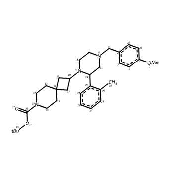 COc1ccc(CN2CCN(C3CC4(CCN(C(=O)OC(C)(C)C)CC4)C3)C(c3ccccc3C)C2)cc1